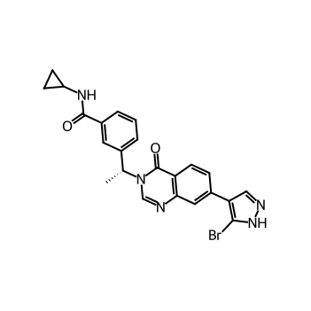 C[C@H](c1cccc(C(=O)NC2CC2)c1)n1cnc2cc(-c3cn[nH]c3Br)ccc2c1=O